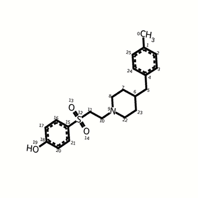 Cc1ccc(CC2CCN(CCS(=O)(=O)c3ccc(O)cc3)CC2)cc1